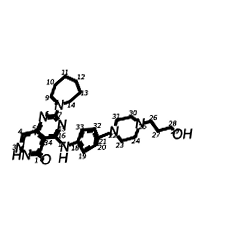 O=c1[nH]ncc2nc(N3CCCCCC3)nc(Nc3ccc(N4CCN(CCCO)CC4)cc3)c12